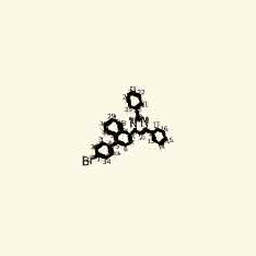 Brc1ccc(-c2ccc(-c3cc(C4=CC=CCC4)nc(-c4ccccc4)n3)c3ccccc23)cc1